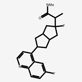 CNC(=O)C(C)C1(F)CC2CC(c3ccnc4ccc(F)cc34)CC2C1